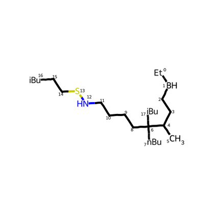 CCBCCC(C)C(CCCC)(CCCCNSCCC(C)CC)C(C)CC